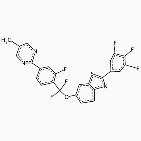 Cc1cnc(-c2ccc(C(F)(F)Oc3ccc4nc(-c5cc(F)c(F)c(F)c5)sc4c3)c(F)c2)nc1